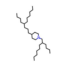 CCCCCCC(CCCC)CCCC1CCN(CC(CCCC)CCCCCC)CC1